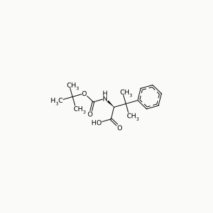 CC(C)(C)OC(=O)N[C@H](C(=O)O)C(C)(C)c1ccccc1